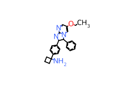 CCOC1=CN2C(=NC(c3ccc(C4(N)CCC4)cc3)C2c2ccccc2)N=C1